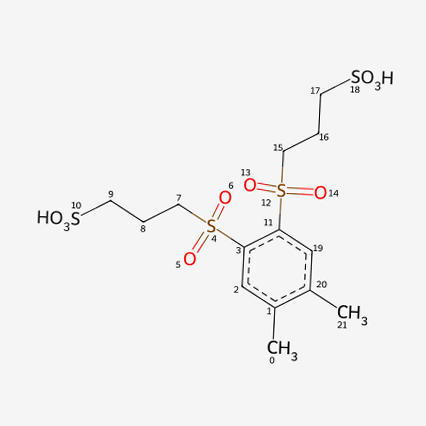 Cc1cc(S(=O)(=O)CCCS(=O)(=O)O)c(S(=O)(=O)CCCS(=O)(=O)O)cc1C